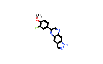 COc1ccc(-c2cnc3cc4[nH]ncc4cc3n2)cc1F